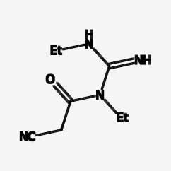 CCNC(=N)N(CC)C(=O)CC#N